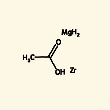 CC(=O)O.[MgH2].[Zr]